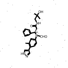 Cc1cc(N(C=O)[C@H](CC(=O)NCC(C)(C)O)c2ccccc2)ccc1-c1cn[nH]c1